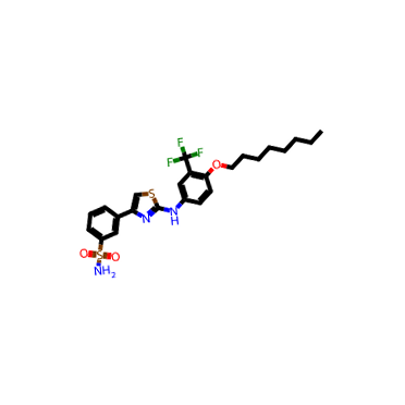 CCCCCCCCOc1ccc(Nc2nc(-c3cccc(S(N)(=O)=O)c3)cs2)cc1C(F)(F)F